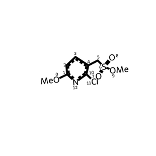 COc1ccc(CS(=O)(=O)OC)c(Cl)n1